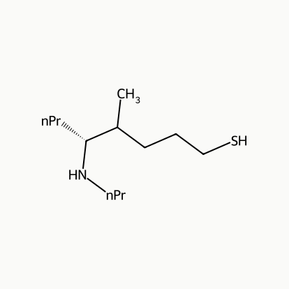 CCCN[C@H](CCC)C(C)CCCS